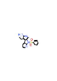 CCc1c(N)ncc2c1c1cccnc1n2S(=O)(=O)c1ccccc1